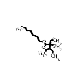 CCCCCCCOC(=O)C([SiH3])(CC)C(CC)CC